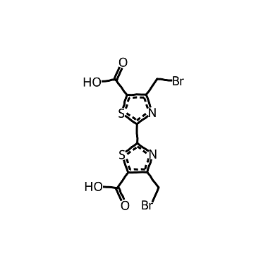 O=C(O)c1sc(-c2nc(CBr)c(C(=O)O)s2)nc1CBr